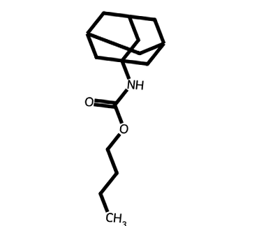 CCCCOC(=O)NC12CC3CC(CC(C3)C1)C2